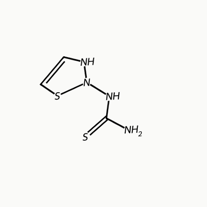 NC(=S)NN1NC=CS1